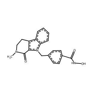 CN1CCc2c(n(Cc3ccc(C(=O)NO)cc3)c3ccccc23)C1=O